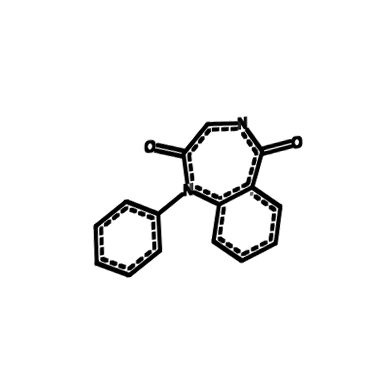 O=c1ncc(=O)n(-c2ccccc2)c2ccccc12